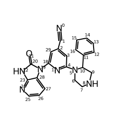 N#Cc1cc(N2CCNCC2c2ccccc2)nc(-n2c(=O)[nH]c3ncccc32)c1